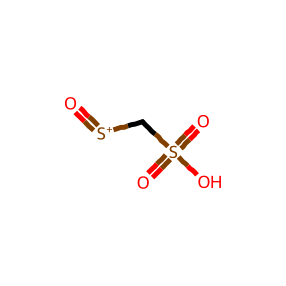 O=[S+]CS(=O)(=O)O